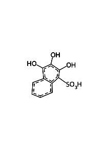 O=S(=O)(O)c1c(O)c(O)c(O)c2ccccc12